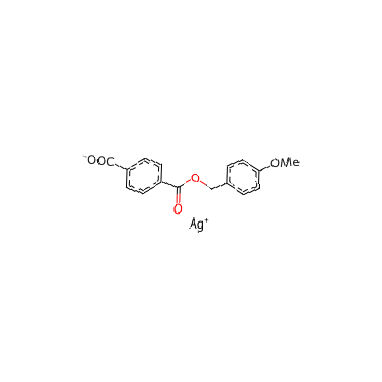 COc1ccc(COC(=O)c2ccc(C(=O)[O-])cc2)cc1.[Ag+]